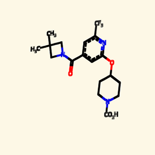 CC1(C)CN(C(=O)c2cc(OC3CCN(C(=O)O)CC3)nc(C(F)(F)F)c2)C1